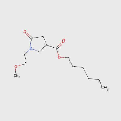 CCCCCCOC(=O)C1CC(=O)N(CCOC)C1